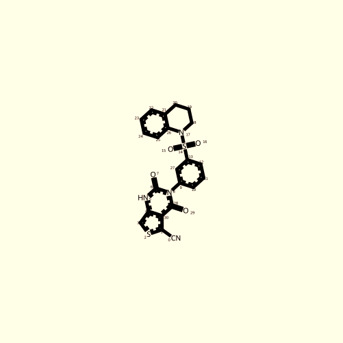 N#Cc1scc2[nH]c(=O)n(-c3cccc(S(=O)(=O)N4CCCc5ccccc54)c3)c(=O)c12